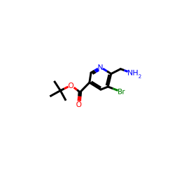 CC(C)(C)OC(=O)c1cnc(CN)c(Br)c1